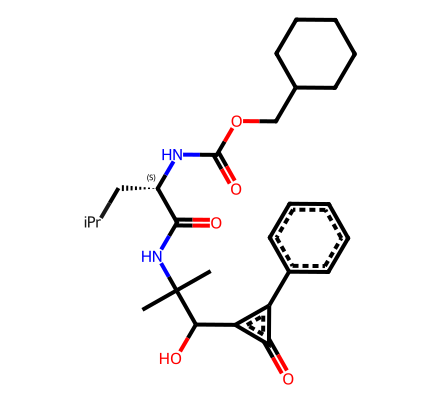 CC(C)C[C@H](NC(=O)OCC1CCCCC1)C(=O)NC(C)(C)C(O)c1c(-c2ccccc2)c1=O